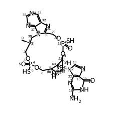 C[C@@H]1COP(=O)(S)OC[C@H]2O[C@@H](n3cnc4c(=O)[nH]c(N)nc43)[C@H](OP(=O)(S)OCc3nc4cncnc4n3C1)[C@@H]2F